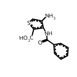 Nc1csc(C(=O)O)c1NC(=O)c1ccccc1